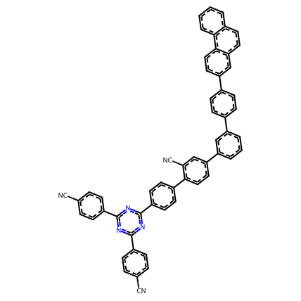 N#Cc1ccc(-c2nc(-c3ccc(C#N)cc3)nc(-c3ccc(-c4ccc(-c5cccc(-c6ccc(-c7ccc8c(ccc9ccccc98)c7)cc6)c5)cc4C#N)cc3)n2)cc1